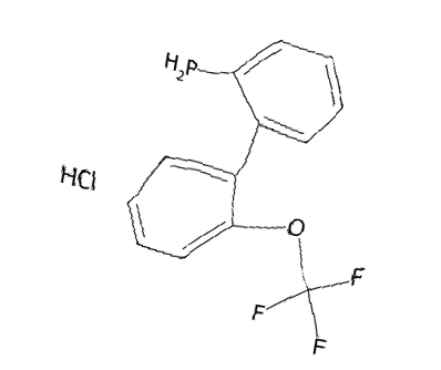 Cl.FC(F)(F)Oc1ccccc1-c1ccccc1P